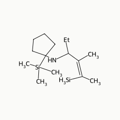 CCC(NC1([Si](C)(C)C)CCCC1)C(C)=C(C)[SiH3]